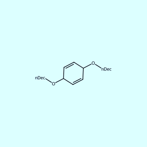 CCCCCCCCCCOC1C=CC(OCCCCCCCCCC)C=C1